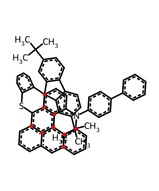 CC(C)(C)c1ccc2c(c1)C1(c3ccccc3Sc3ccc(-c4ccccc4N(c4ccc(-c5ccccc5)cc4)c4ccccc4-c4cccc5ccccc45)cc31)c1cc(C(C)(C)C)ccc1-2